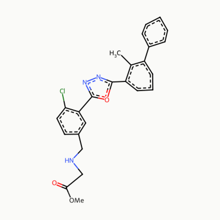 COC(=O)CNCc1ccc(Cl)c(-c2nnc(-c3cccc(-c4ccccc4)c3C)o2)c1